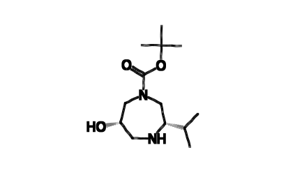 CC(C)[C@H]1CN(C(=O)OC(C)(C)C)C[C@@H](O)CN1